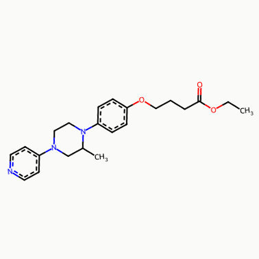 CCOC(=O)CCCOc1ccc(N2CCN(c3ccncc3)CC2C)cc1